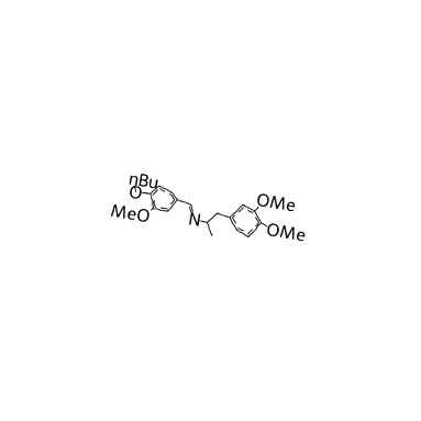 CCCCOc1ccc(C=NC(C)Cc2ccc(OC)c(OC)c2)cc1OC